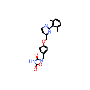 Cc1cccc(C)c1-c1nccc(COc2ccc(Cn3oc(=O)[nH]c3=O)cc2)n1